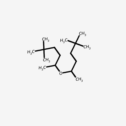 CC(CCC(C)(C)C)OC(C)CCC(C)(C)C